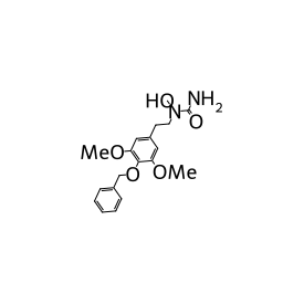 COc1cc(CCN(O)C(N)=O)cc(OC)c1OCc1ccccc1